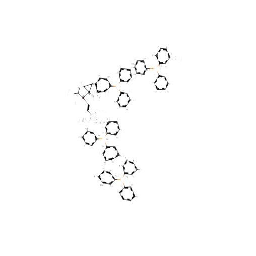 CCC[CH2][Sn](/[CH]=C/C(O)(C(CC)CC)C1(C#N)CC1)([CH2]CCC)[CH2]CCC.[Pd].c1ccc(P(c2ccccc2)c2ccccc2)cc1.c1ccc(P(c2ccccc2)c2ccccc2)cc1.c1ccc(P(c2ccccc2)c2ccccc2)cc1.c1ccc(P(c2ccccc2)c2ccccc2)cc1